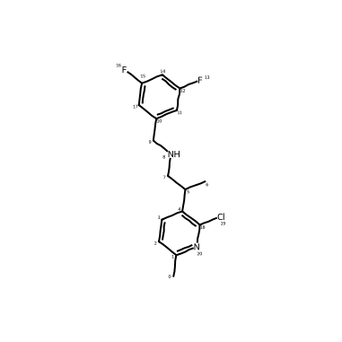 Cc1ccc(C(C)CNCc2cc(F)cc(F)c2)c(Cl)n1